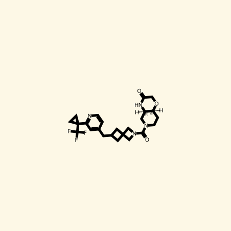 O=C1CO[C@H]2CCN(C(=O)N3CC4(CC(Cc5ccnc(C6(C(F)(F)F)CC6)c5)C4)C3)C[C@H]2N1